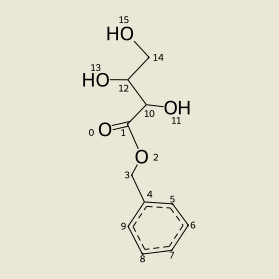 O=C(OCc1ccccc1)C(O)C(O)CO